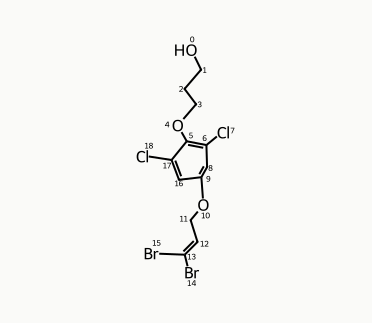 OCCCOc1c(Cl)cc(OCC=C(Br)Br)cc1Cl